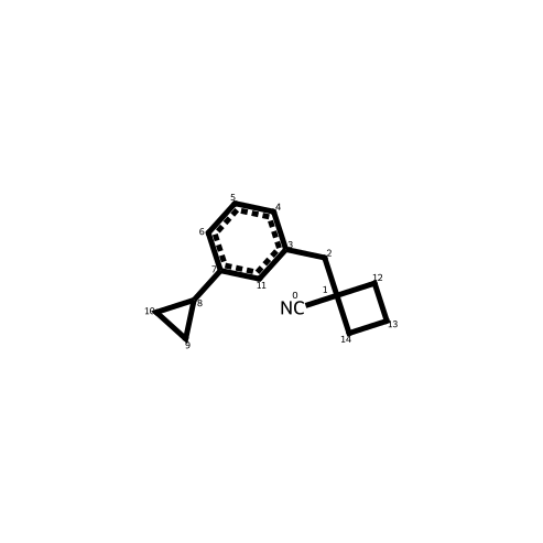 N#CC1(Cc2cccc(C3CC3)c2)CCC1